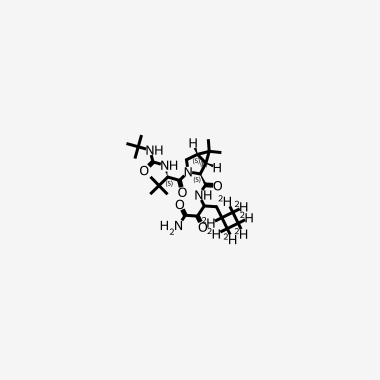 [2H]C1([2H])C([2H])([2H])C([2H])(CC(NC(=O)[C@@H]2[C@@H]3[C@H](CN2C(=O)[C@@H](NC(=O)NC(C)(C)C)C(C)(C)C)C3(C)C)C(=O)C(N)=O)C1([2H])[2H]